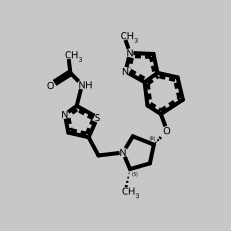 CC(=O)Nc1ncc(CN2C[C@H](Oc3ccc4cn(C)nc4c3)C[C@@H]2C)s1